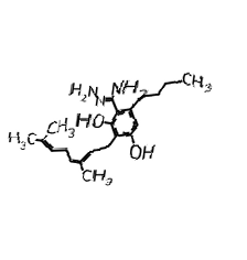 CCCCCc1cc(O)c(C/C=C(\C)CCC=C(C)C)c(O)c1/C(N)=N/N